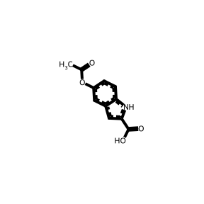 CC(=O)Oc1ccc2[nH]c(C(=O)O)cc2c1